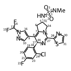 CNS(=O)(=O)N[C@H]1CC2=C(c3cnn(C(F)F)c3)[C@H](c3ccc(F)cc3Cl)N=C(c3nccs3)N2C1